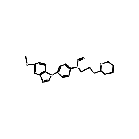 COc1ccc2c(c1)ncn2-c1ccc(N(C=O)CCOC2CCCCO2)cc1